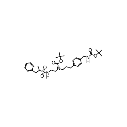 CC(C)(C)OC(=O)NCc1ccc(CCCN(CCNS(=O)(=O)C2Cc3ccccc3C2)C(=O)OC(C)(C)C)cc1